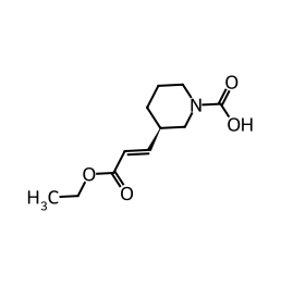 CCOC(=O)/C=C/[C@H]1CCCN(C(=O)O)C1